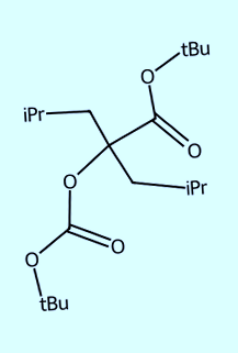 CC(C)CC(CC(C)C)(OC(=O)OC(C)(C)C)C(=O)OC(C)(C)C